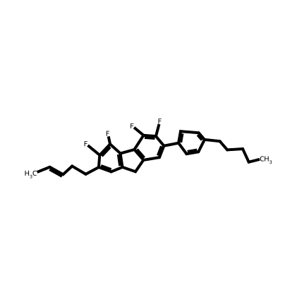 C/C=C/CCc1cc2c(c(F)c1F)-c1c(cc(-c3ccc(CCCCC)cc3)c(F)c1F)C2